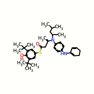 C=C(CC(=O)Sc1cc(C(C)(C)C)c(O)c(C(C)(C)C)c1)N(c1ccc(NC2=CCCC=C2)cc1)C(C)CC(C)C